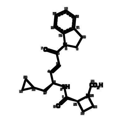 O=C(N[C@H](C=CC(=O)N1CCc2ccccc21)CC1CC1)[C@@H]1CCN1C(=O)O